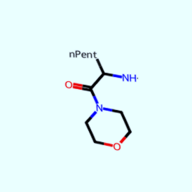 CCCCCC([NH])C(=O)N1CCOCC1